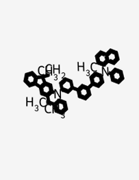 C=CC1(C)c2ccccc2-c2cc3c(cc21)N(C1=CC(c2cccc(-c4ccc(N(c5ccccc5)c5cccc6ccccc56)c(C)c4)c2)CC=C1)c1ccccc1C3(C)C